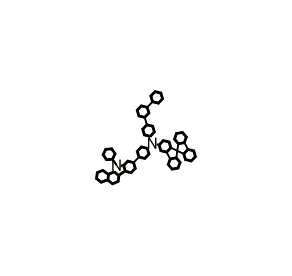 c1ccc(-c2cccc(-c3ccc(N(c4ccc(-c5ccc6c7ccc8ccccc8c7n(-c7ccccc7)c6c5)cc4)c4ccc5c(c4)-c4ccccc4C54c5ccccc5-c5ccccc54)cc3)c2)cc1